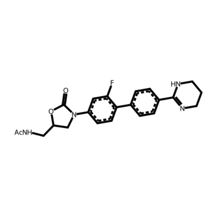 CC(=O)NCC1CN(c2ccc(-c3ccc(C4=NCCCN4)cc3)c(F)c2)C(=O)O1